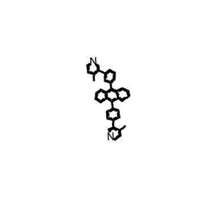 Cc1ccncc1-c1ccc(-c2c3ccccc3c(-c3cccc(-c4cnccc4C)c3)c3ccccc23)cc1